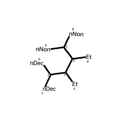 CCCCCCCCCCC(CCCCCCCCCC)[C](CC)C(CC)C(CCCCCCCCC)CCCCCCCCC